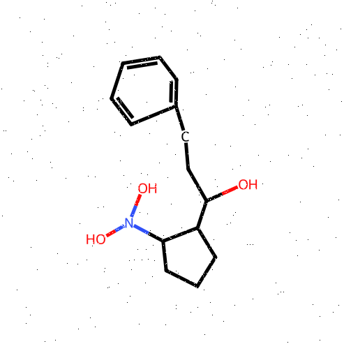 OC(CCc1ccccc1)C1CCCC1N(O)O